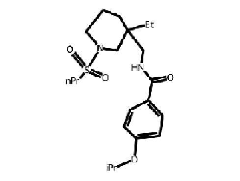 CCCS(=O)(=O)N1CCCC(CC)(CNC(=O)c2ccc(OC(C)C)cc2)C1